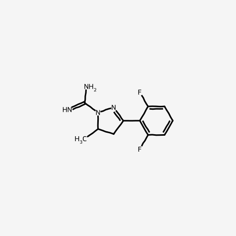 CC1CC(c2c(F)cccc2F)=NN1C(=N)N